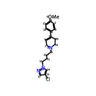 COc1ccc(C2=CCN(CCCCn3cc(Cl)cn3)CC2)cc1